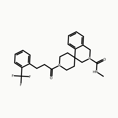 CNC(=O)N1Cc2ccccc2C2(CCN(C(=O)CCc3ccccc3C(F)(F)F)CC2)C1